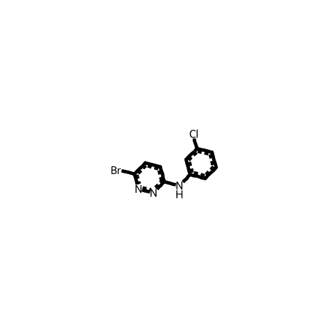 Clc1cccc(Nc2ccc(Br)nn2)c1